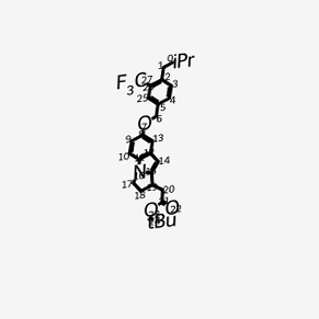 CC(C)Cc1ccc(COc2ccc3c(c2)cc2n3CCC2CC(=O)OC(C)(C)C)cc1C(F)(F)F